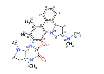 CC(=O)N1CCC(N(C)C(=O)c2nc3c(C#N)c(C)c(-c4ccccc4)c(N4CC[C@H](N(C)C)C4)c3o2)C1